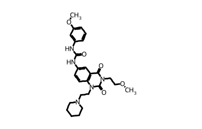 COCCn1c(=O)c2cc(NC(=O)Nc3cccc(OC)c3)ccc2n(CCN2CCCCC2)c1=O